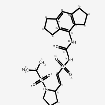 CC(C)S(=O)(=O)N1CCCC1/C=C/S(=O)(=O)NC(=O)Nc1c2c(cc3c1CCC3)CCC2